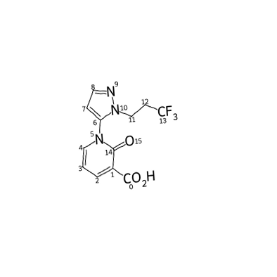 O=C(O)c1cccn(-c2ccnn2CCC(F)(F)F)c1=O